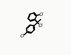 CC(Cl)(c1ccc(Cl)cc1)c1ccccc1Cl